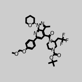 COCOc1ccc(-c2cc(C(=O)N3CCN(C(=O)OC(C)(C)C)CC3CC(F)(F)F)c3c(C)nn([C@H]4CCCCO4)c3n2)cc1